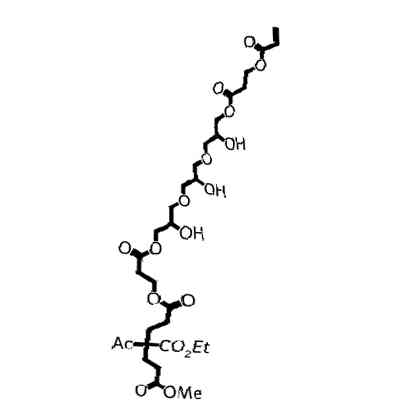 C=CC(=O)OCCC(=O)OCC(O)COCC(O)COCC(O)COC(=O)CCOC(=O)CCC(CCC(=O)OC)(C(C)=O)C(=O)OCC